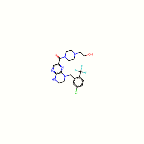 O=C(c1cnc2c(n1)N(Cc1cc(Cl)ccc1C(F)(F)F)CCN2)N1CCN(CCO)CC1